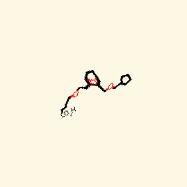 O=C(O)CCCOCCC1C2CCC(O2)C1COCC1CCCC1